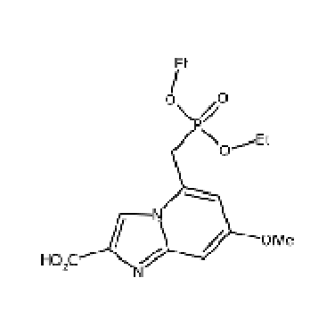 CCOP(=O)(Cc1cc(OC)cc2nc(C(=O)O)cn12)OCC